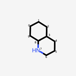 C1CCC2CCCN[C]2C1